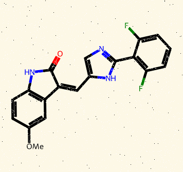 COc1ccc2c(c1)/C(=C/c1cnc(-c3c(F)cccc3F)[nH]1)C(=O)N2